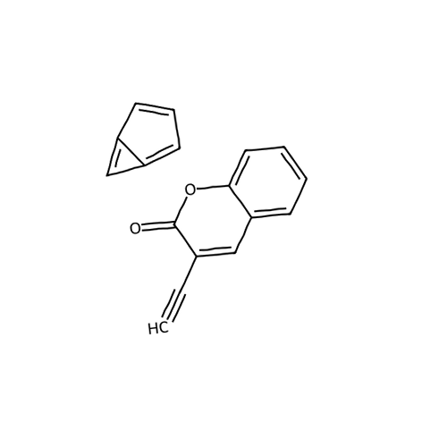 C#Cc1cc2ccccc2oc1=O.c1cc2cc-2c1